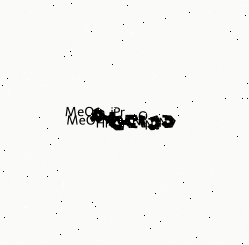 COc1ccc(-c2[nH]c3ccc(C4CCN(C(=O)CN5CCC(N6CCCCC6)CC5)CC4)cc3c2C(C)C)cc1OC